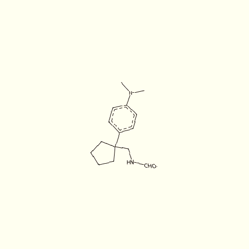 CN(C)c1ccc(C2(CN[C]=O)CCCC2)cc1